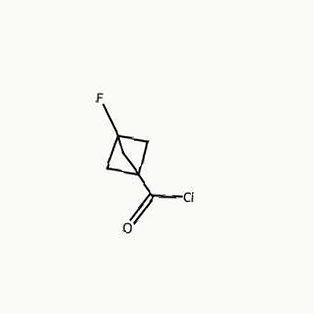 O=C(Cl)C12CC(F)(C1)C2